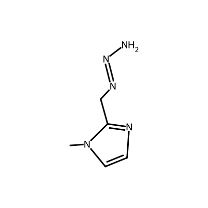 Cn1ccnc1CN=NN